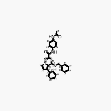 CC(=O)Nc1ccc(NC(=O)c2nc(NCc3ccccc3)c3c(-c4ccccc4)ccn3n2)cc1